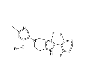 CCOc1cc(C)ncc1N1CCc2[nH]c(-c3c(F)cccc3F)c(F)c2C1